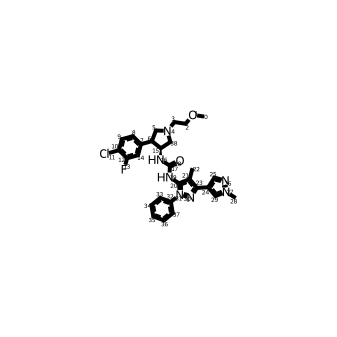 COCCN1CC(c2ccc(Cl)c(F)c2)[C@H](NC(=O)Nc2c(C)c(-c3cnn(C)c3)nn2-c2ccccc2)C1